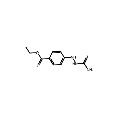 CCOC(=O)c1ccc(NNC(N)=S)cc1